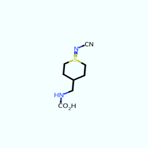 N#CN=S1CCC(CNC(=O)O)CC1